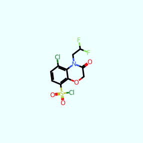 O=C1COc2c(S(=O)(=O)Cl)ccc(Cl)c2N1CC(F)F